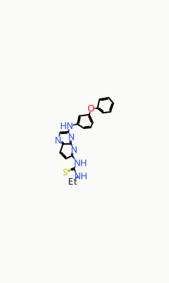 CCNC(=S)Nc1ccc2ncc(Nc3cccc(Oc4ccccc4)c3)nc2n1